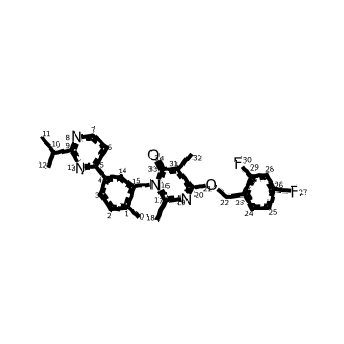 Cc1ccc(-c2ccnc(C(C)C)n2)cc1-n1c(C)nc(OCc2ccc(F)cc2F)c(C)c1=O